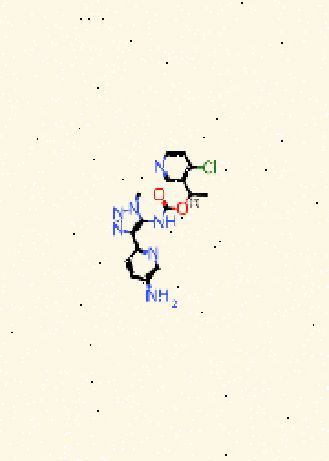 C[C@@H](OC(=O)Nc1c(-c2ccc(N)cn2)nnn1C)c1cnccc1Cl